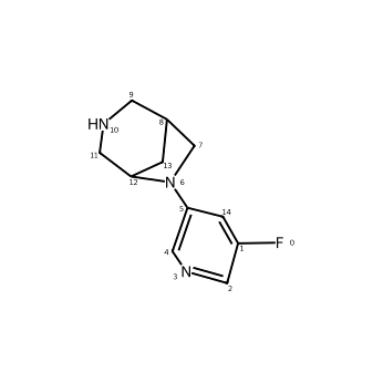 Fc1cncc(N2CC3CNCC2C3)c1